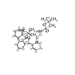 CC(C)(C)OC(=O)NCCN1CCC=C[C@H]1CO[Si](c1ccccc1)(c1ccccc1)C(C)(C)C